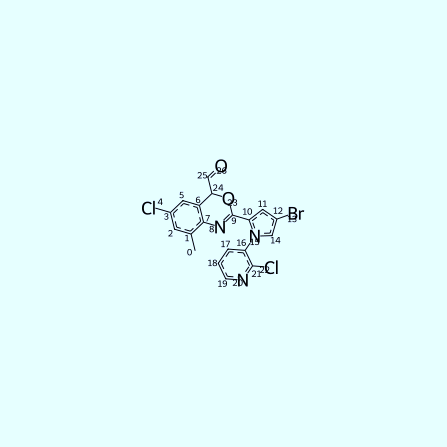 Cc1cc(Cl)cc2c1N=C(c1cc(Br)cn1-c1cccnc1Cl)OC2C=O